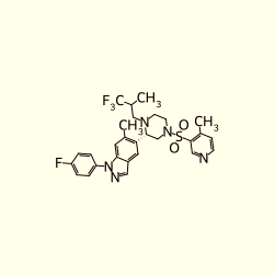 Cc1cc2c(cnn2-c2ccc(F)cc2)cc1[C@H]1CN(S(=O)(=O)c2cnccc2C)CCN1CC(C)C(F)(F)F